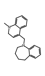 CN1CC=C(CN2CCCCc3ccccc32)c2ccccc21